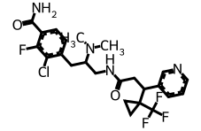 CN(C)C(CNC(=O)CC(c1cccnc1)C1(C(F)(F)F)CC1)Cc1ccc(C(N)=O)c(F)c1Cl